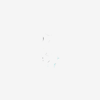 Fc1ccc(SCc2ccccc2)cc1C(F)F